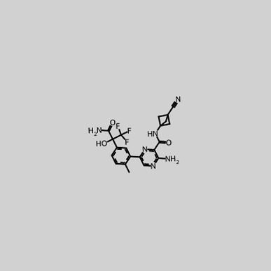 Cc1ccc(C(O)(C(N)=O)C(F)(F)F)cc1-c1cnc(N)c(C(=O)NC23CC(C#N)(C2)C3)n1